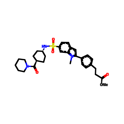 COC(=O)CCc1ccc(-c2cc3ccc(S(=O)(=O)N[C@H]4CC[C@H](C(=O)N5CCCCC5)CC4)cc3n2C)cc1